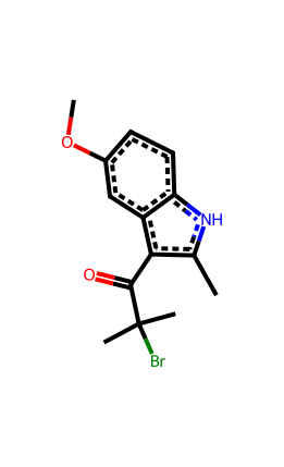 COc1ccc2[nH]c(C)c(C(=O)C(C)(C)Br)c2c1